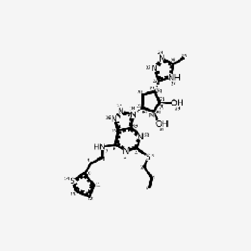 CCCSc1nc(NCCc2cccs2)c2nnn([C@@H]3C[C@H](c4nnc(C)[nH]4)[C@@H](O)[C@H]3O)c2n1